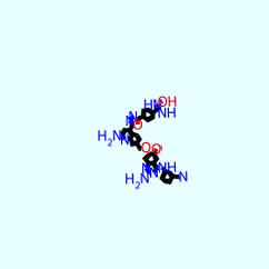 COc1cc2c(Nc3cccc(C#N)c3)nc(N)nc2cc1OCc1ccc2c(-c3nnc(-c4ccc(C(=N)NO)cc4)o3)cc(N)nc2c1